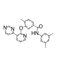 Cc1cc(C)cc(NC(=O)c2ccc(C)c(Oc3ncccc3-c3ccncn3)c2)c1